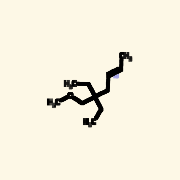 C/C=C/CC(CC)(CC)COC